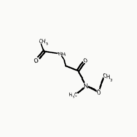 CON(C)C(=O)CNC(C)=O